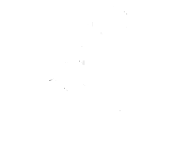 O=C(N[C@@H](Cc1ccccc1)C(=O)N[C@H](CO)C[C@@H]1CCNC1=O)OC(C1CCCCC1)C(F)(F)c1cccc(Cl)c1